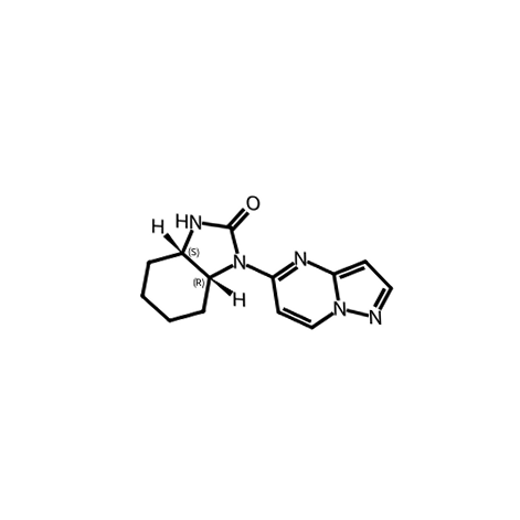 O=C1N[C@H]2CCCC[C@H]2N1c1ccn2nccc2n1